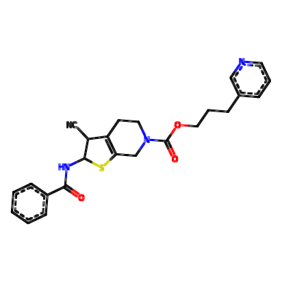 N#CC1C2=C(CN(C(=O)OCCCc3cccnc3)CC2)SC1NC(=O)c1ccccc1